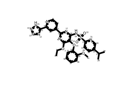 [CH2]COc1nc(-c2ccnc(-c3nnn[nH]3)c2)nc(NS(=O)(=O)c2ccc(C(C)C)cn2)c1Oc1ccccc1OC